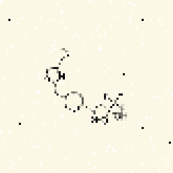 OC1(C(F)(F)F)CC(c2ccc(Cn3ccc(C4CC4)n3)cc2)=NO1